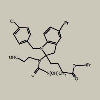 CC(C)OC(=O)CCCC1(N(CCC=O)C(=O)N(C)O)Cc2cc(C(C)C)ccc2N1Cc1ccc(Cl)cc1